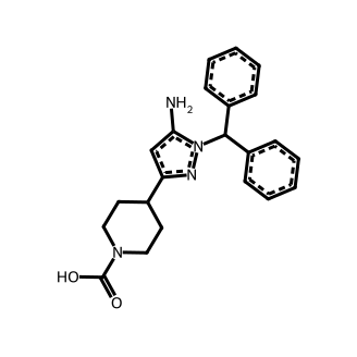 Nc1cc(C2CCN(C(=O)O)CC2)nn1C(c1ccccc1)c1ccccc1